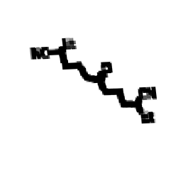 CCC(C#N)CCCC(=O)CCCC(C#N)CC